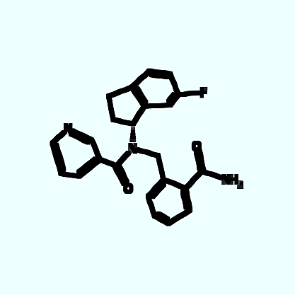 NC(=O)c1ccccc1CN(C(=O)c1cccnc1)[C@@H]1CCc2ccc(F)cc21